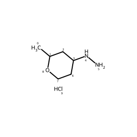 CC1CC(NN)CCO1.Cl